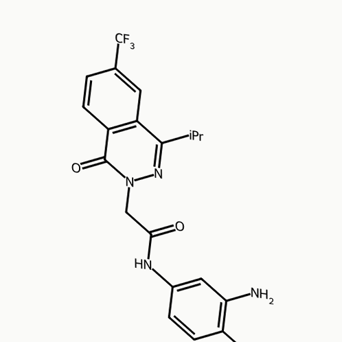 CNc1ccc(NC(=O)Cn2nc(C(C)C)c3cc(C(F)(F)F)ccc3c2=O)cc1N